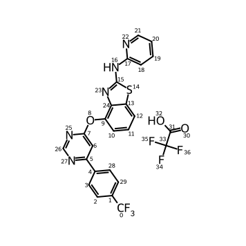 FC(F)(F)c1ccc(-c2cc(Oc3cccc4sc(Nc5ccccn5)nc34)ncn2)cc1.O=C(O)C(F)(F)F